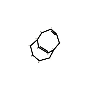 [CH]1C=CCC2C=CC1CCCC2